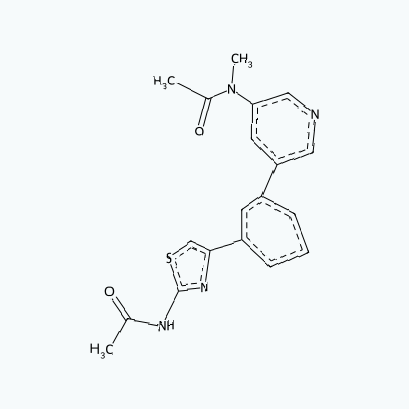 CC(=O)Nc1nc(-c2cccc(-c3cncc(N(C)C(C)=O)c3)c2)cs1